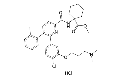 COC(=O)C1(NC(=O)c2ccc(-c3ccccc3C)c(-c3ccc(Cl)c(OCCCN(C)C)c3)n2)CCCCC1.Cl